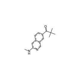 CNc1cc2ccc(C(=O)C(C)(C)C)cc2cn1